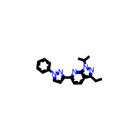 CCc1nn(C(C)C)c2nc(-c3ccn(-c4ccccc4)n3)ccc12